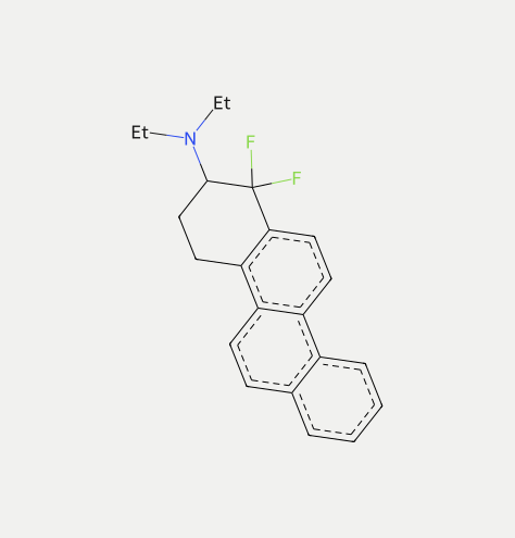 CCN(CC)C1CCc2c(ccc3c2ccc2ccccc23)C1(F)F